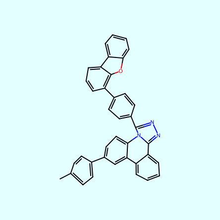 Cc1ccc(-c2ccc3c(c2)c2ccccc2c2nnc(-c4ccc(-c5cccc6c5oc5ccccc56)cc4)n32)cc1